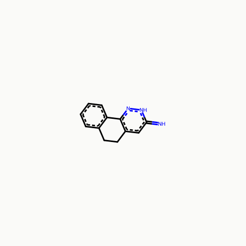 N=c1cc2c(n[nH]1)-c1ccccc1CC2